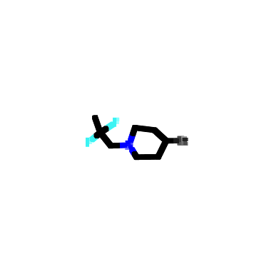 [CH2]CC1CCN(CC(C)(F)F)CC1